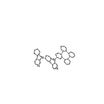 c1ccc2c(c1)-c1ccccc1-c1ccc(-n3c4ccc(-n5c6ccccc6c6ccncc65)cc4c4ccncc43)cc1-c1ccccc1-2